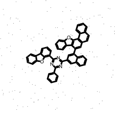 c1ccc(-c2nc(-c3cc(-c4cc5ccc6ccccc6c5c5oc6ccccc6c45)c4ccccc4c3)nc(-c3cccc4c3oc3ccccc34)n2)cc1